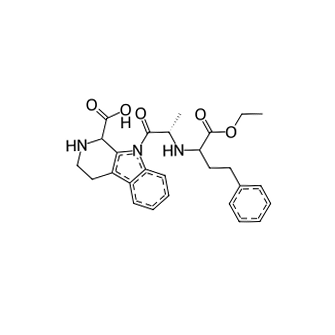 CCOC(=O)C(CCc1ccccc1)N[C@@H](C)C(=O)n1c2c(c3ccccc31)CCNC2C(=O)O